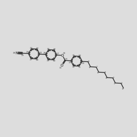 CCCCCCCCCCc1ccc(C(=O)Oc2ccc(-c3ccc(C#N)cc3)cc2)cc1